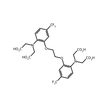 O=C(O)CN(CC(=O)O)c1ccc(C(F)(F)F)cc1OCCOc1cc(C(F)(F)F)ccc1N(CC(=O)O)CC(=O)O